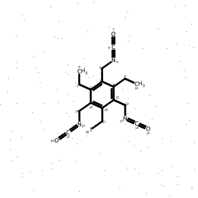 CCc1c(CN=C=O)c(CC)c(CN=C=O)c(CI)c1CN=C=O